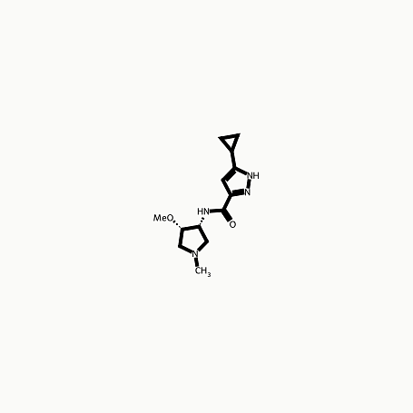 CO[C@H]1CN(C)C[C@H]1NC(=O)c1cc(C2CC2)[nH]n1